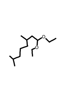 CCOC(CC(C)CCCC(C)C)OCC